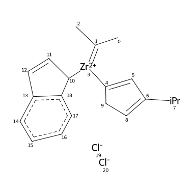 C[C](C)=[Zr+2]([C]1=CC(C(C)C)=CC1)[CH]1C=Cc2ccccc21.[Cl-].[Cl-]